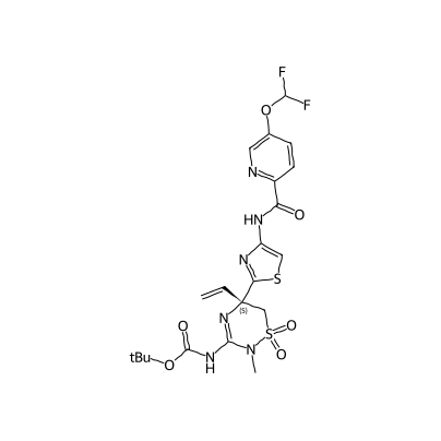 C=C[C@@]1(c2nc(NC(=O)c3ccc(OC(F)F)cn3)cs2)CS(=O)(=O)N(C)C(NC(=O)OC(C)(C)C)=N1